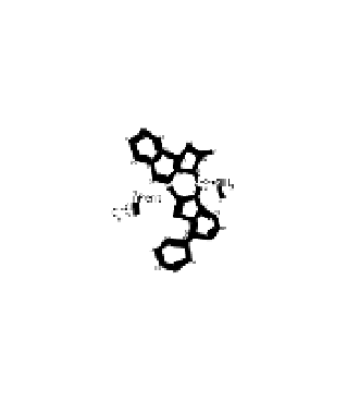 CCCCCC.C[SiH2][Zr+2]([CH]1C(C)=Cc2c(-c3ccccc3)cccc21)[CH]1C(C)=Cc2c1ccc1ccccc21.[Cl-].[Cl-]